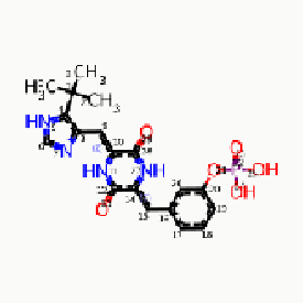 CC(C)(C)c1[nH]cnc1/C=c1\[nH]c(=O)/c(=C/c2cccc(OP(=O)(O)O)c2)[nH]c1=O